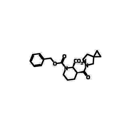 O=C(O)[C@H]1[C@@H](C(=O)N2CCC3(CC3)C2)CCCN1C(=O)OCc1ccccc1